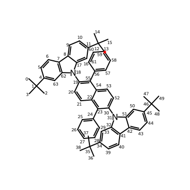 CC(C)(C)c1ccc2c3ccc(C(C)(C)C)cc3n(-c3ccc4c(-c5ccccc5)c(-n5c6cc(C(C)(C)C)ccc6c6ccc(C(C)(C)C)cc65)ccc4c3-c3ccccc3)c2c1